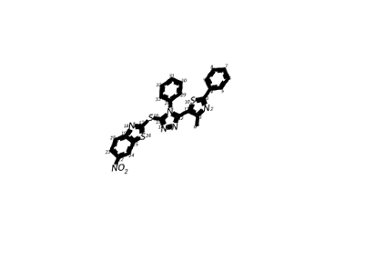 Cc1nc(-c2ccccc2)sc1-c1nnc(Sc2nc3ccc([N+](=O)[O-])cc3s2)n1-c1ccccc1